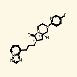 O=C1[C@H](CCCc2cccn3ncnc23)C[C@@H]2CN(c3ccc(F)cn3)CCN12